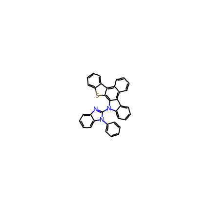 c1ccc(-n2c(-n3c4ccccc4c4c5ccccc5c5c6ccccc6sc5c43)nc3ccccc32)cc1